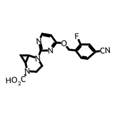 N#Cc1ccc(COc2ccnc(N3CCN(C(=O)O)C4CC43)n2)c(F)c1